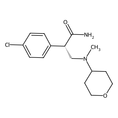 CN(C[C@@H](C(N)=O)c1ccc(Cl)cc1)C1CCOCC1